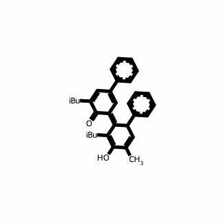 CCC(C)C1=CC(c2ccccc2)=CC(=C2C(C(C)CC)=C(O)C(C)=CC2c2ccccc2)C1=O